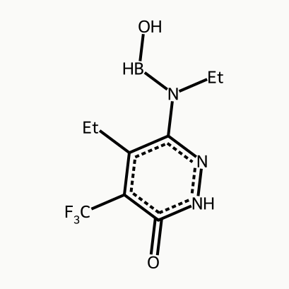 CCc1c(N(BO)CC)n[nH]c(=O)c1C(F)(F)F